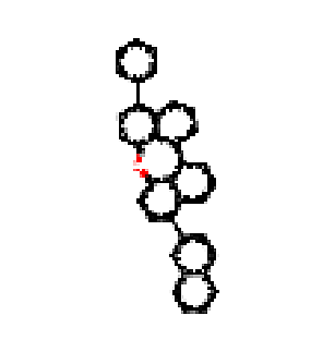 c1ccc(-c2ccc3oc4ccc(-c5ccc6ccccc6c5)c5cccc(c6cccc2c36)c45)cc1